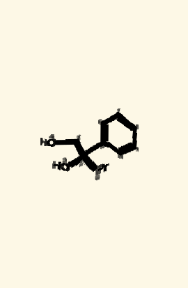 CC(C)C(O)(CO)c1ccccc1